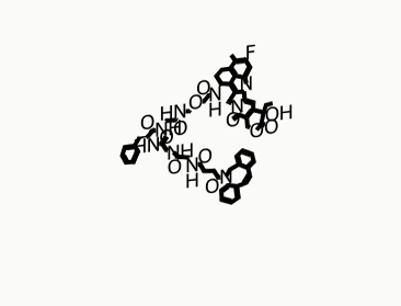 CC[C@@]1(O)C(=O)OCc2c1cc1n(c2=O)Cc2c-1nc1cc(F)c(C)c3c1c2[C@@H](NC(=O)COCNC(=O)CNC(=O)[C@H](Cc1ccccc1)NC(=O)CNC(=O)CNC(=O)CCC(=O)N1Cc2ccccc2C#Cc2ccccc21)CC3